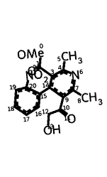 COC(=O)c1c(C)nc(C)c(C(=O)CO)c1-c1ccccc1[N+](=O)[O-]